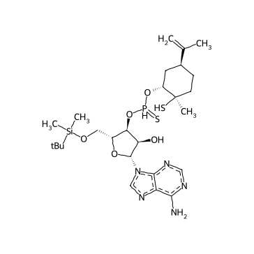 C=C(C)[C@H]1CC[C@@](C)(S)[C@H](O[PH](=S)O[C@H]2[C@@H](O)[C@H](n3cnc4c(N)ncnc43)O[C@@H]2CO[Si](C)(C)C(C)(C)C)C1